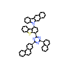 c1ccc2cc3c(cc2c1)c1ccccc1n3-c1ccc(-c2nc(-c3ccc4c(ccc5ccccc54)c3)nc(-c3cccc4ccccc34)n2)c2sc3ccccc3c12